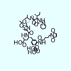 CC[C@H](C)C(NC(=O)[C@H]1CCCCN1C)C(=O)N(C)[C@H](C[C@@H](OC(C)=O)c1nc(C(=O)N[C@@H](Cc2ccc(OP(=O)(O)O)c(NC(=O)CCCCN3C(=O)C=CC3=O)c2)CC(C)C(=O)O)cs1)C(C)C